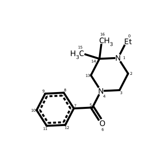 CCN1CCN(C(=O)c2ccccc2)CC1(C)C